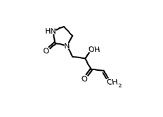 C=CC(=O)C(O)CN1CCNC1=O